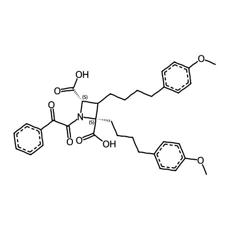 COc1ccc(CCCCC2[C@@H](C(=O)O)N(C(=O)C(=O)c3ccccc3)[C@]2(CCCCc2ccc(OC)cc2)C(=O)O)cc1